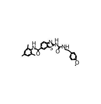 COc1ccc(CCNC(=O)Nc2nc3ccc(C(=O)Nc4c(C)cc(C)cc4C)cc3s2)cc1